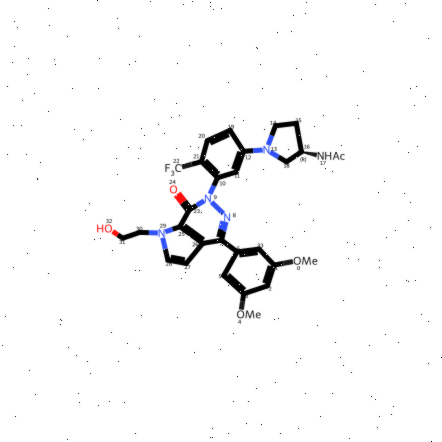 COc1cc(OC)cc(-c2nn(-c3cc(N4CC[C@@H](NC(C)=O)C4)ccc3C(F)(F)F)c(=O)c3c2ccn3CCO)c1